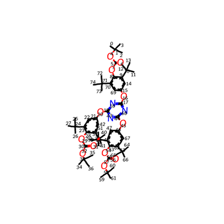 CC(C)(C)OC(=O)Oc1c(C(C)(C)C)cc(Oc2nc(Oc3cc(C(C)(C)C)c(OC(=O)OC(C)(C)C)c(C(C)(C)C)c3)nc(Oc3cc(C(C)(C)C)c(OC(=O)OC(C)(C)C)c(C(C)(C)C)c3)n2)cc1C(C)(C)C